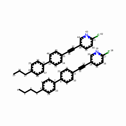 CCCCc1ccc(-c2ccc(C#Cc3ccc(F)nc3)cc2)cc1.CCCc1ccc(-c2ccc(C#Cc3ccc(F)nc3)cc2)cc1